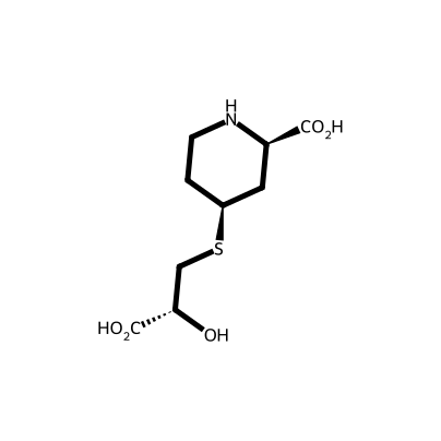 O=C(O)[C@@H](O)CS[C@H]1CCN[C@@H](C(=O)O)C1